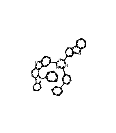 c1ccc(-c2cccc(-c3nc(-c4ccc5c(c4)oc4ccccc45)nc(-c4ccc5oc6ccc7c8ccccc8n(-c8ccccc8)c7c6c5c4)n3)c2)cc1